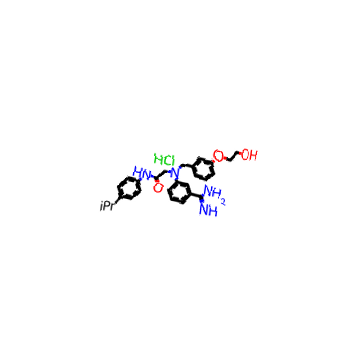 CC(C)c1ccc(NC(=O)CN(Cc2cccc(OCCO)c2)c2cccc(C(=N)N)c2)cc1.Cl